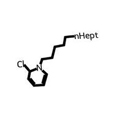 CCCCCCCCCCCCN1C=CC=CC1Cl